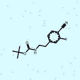 CC(C)(C)OC(=O)NCCc1ccc(C#N)c(F)c1